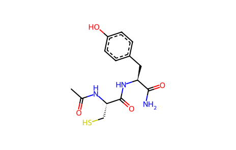 CC(=O)N[C@@H](CS)C(=O)N[C@@H](Cc1ccc(O)cc1)C(N)=O